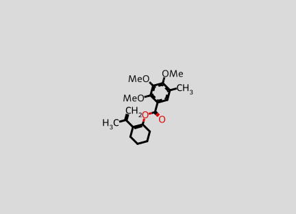 C=C(C)C1=C(OC(=O)c2cc(C)c(OC)c(OC)c2OC)CCCC1